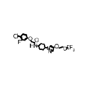 O=C(COc1ccc(Cl)c(F)c1)NC1CCC(n2cc(OCCOC(F)(F)F)cn2)CC1